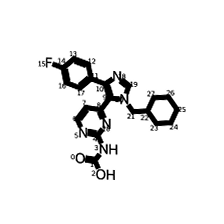 O=C(O)Nc1nccc(-c2c(-c3ccc(F)cc3)ncn2CC2CCCCC2)n1